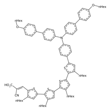 CCCCCCOc1ccc(-c2ccc(N(c3ccc(-c4ccc(OCCCCCC)cc4)cc3)c3ccc(-c4cc(CCCCCC)c(-c5cc(CCCCCC)c(-c6cc(CCCCCC)c(-c7cc(CCCCCC)c(/C=C(\C#N)C(=O)O)s7)s6)s5)s4)cc3)cc2)cc1